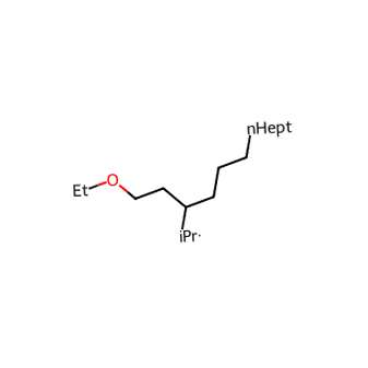 CCCCCCCCCCC(CCOCC)[C](C)C